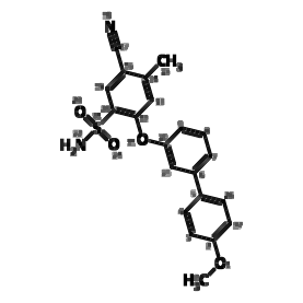 COc1ccc(-c2cccc(Oc3cc(C)c(C#N)cc3S(N)(=O)=O)c2)cc1